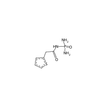 NP(N)(=O)NC(=O)Cc1cccs1